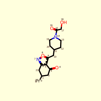 CC(C)C1CC(=O)c2c(noc2CC2CCN(C(=O)CO)CC2)C1